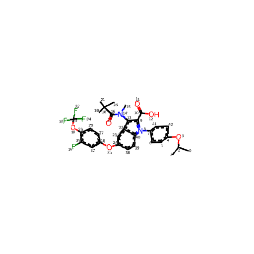 CC(C)Oc1ccc(-n2c(C(=O)O)c(N(C)C(=O)C(C)(C)C)c3cc(Oc4ccc(OC(F)(F)F)c(F)c4)ccc32)cc1